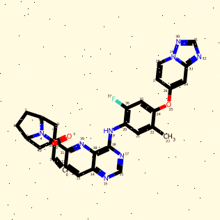 C=CC(=O)N1C2CCC1CC(c1ccc3ncnc(Nc4cc(C)c(Oc5ccn6ncnc6c5)cc4F)c3n1)C2